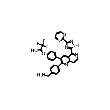 NCc1ccc(-c2nc3ccnc(-c4nc(-c5ncccn5)n[nH]4)c3cc2-c2ccccc2)cc1.O=C(O)C(F)(F)F